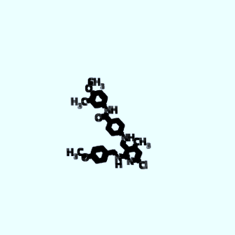 COc1ccc(CNc2nc(Cl)cc(C)c2CNC2CCC(C(=O)Nc3ccc(OC)c(C)c3)CC2)cc1